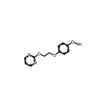 CC(C)Oc1ccc(OCCOc2ncccn2)cc1